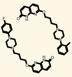 Cc1ccccc1N1CCN(CCCCOc2ccc3ccc(=O)[nH]c3n2)CC1.O=c1ccc2ccc(OCCCCN3CCN(c4ccc(F)cc4)CC3)nc2[nH]1